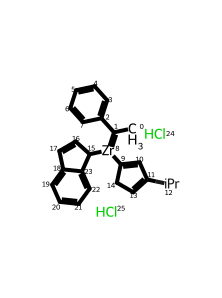 C/[C](c1ccccc1)=[Zr](\[C]1=CC(C(C)C)=CC1)[CH]1C=Cc2ccccc21.Cl.Cl